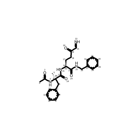 CC(=O)N[C@](C)(Cc1ccccc1)C(=O)N[C@@H](CCC(=O)C=N)C(=O)NCc1ccccc1